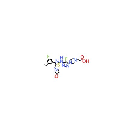 CCc1cc(F)cc(-c2nc(Nc3ncnc(N4CCN(CCC(=O)O)CC4)c3F)sc2CN2CC[C@H](OC)C2)c1